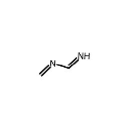 C=NC=N